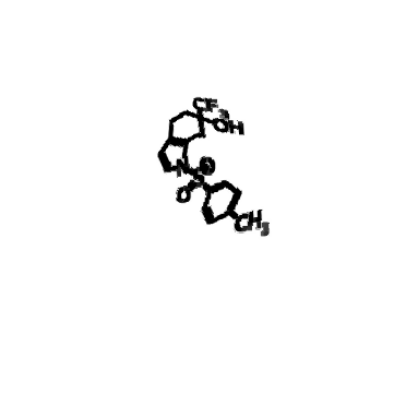 Cc1ccc(S(=O)(=O)n2ccc3c2CC(O)(C(F)(F)F)CC3)cc1